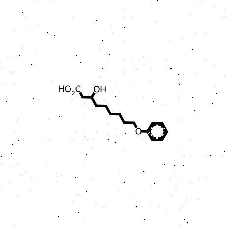 O=C(O)CC(O)CCCCCCOc1ccccc1